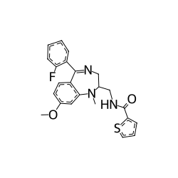 COc1ccc2c(c1)N(C)C(CNC(=O)c1cccs1)CN=C2c1ccccc1F